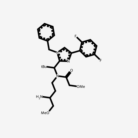 COCC(=O)N(CCC(N)COC)C(c1nc(-c2cc(F)ccc2F)cn1Cc1ccccc1)C(C)(C)C